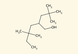 CCC(C)(C)CC(CO)CC(C)(C)C